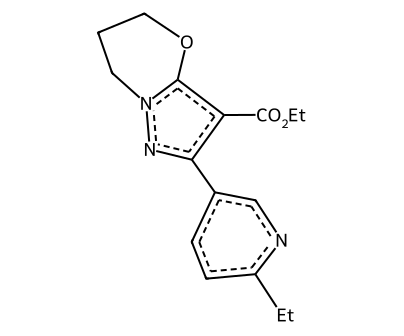 CCOC(=O)c1c(-c2ccc(CC)nc2)nn2c1OCCC2